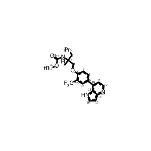 CC(C)CC(C)(COc1ccc(-c2ccnc3cc[nH]c23)cc1C(F)(F)F)NC(=O)OC(C)(C)C